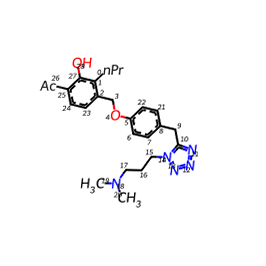 CCCc1c(COc2ccc(Cc3nnnn3CCCN(C)C)cc2)ccc(C(C)=O)c1O